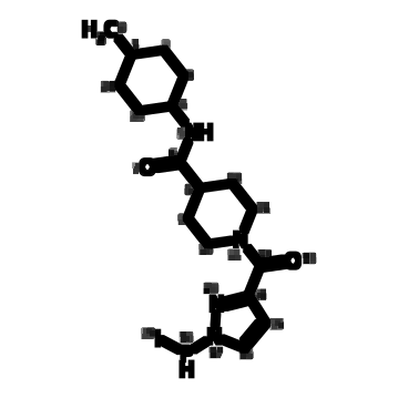 CC1CCC(NC(=O)C2CCN(C(=O)c3ccn(PI)n3)CC2)CC1